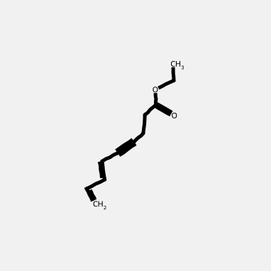 C=CC=CC#CCCC(=O)OCC